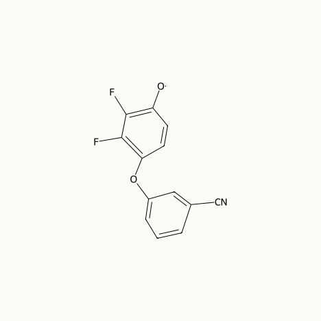 N#Cc1cccc(Oc2ccc([O])c(F)c2F)c1